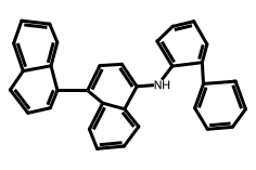 c1ccc(-c2ccccc2Nc2ccc(-c3cccc4ccccc34)c3ccccc23)cc1